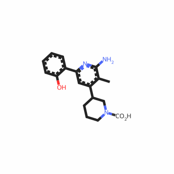 Cc1c(C2CCCN(C(=O)O)C2)cc(-c2ccccc2O)nc1N